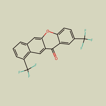 O=c1c2cc(C(F)(F)F)ccc2oc2cc3cccc(C(F)(F)F)c3cc12